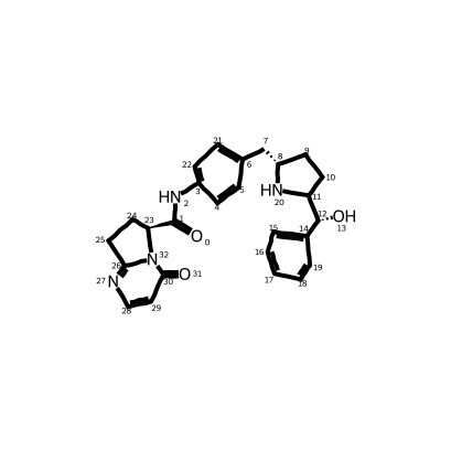 O=C(Nc1ccc(C[C@@H]2CCC([C@H](O)c3ccccc3)N2)cc1)[C@@H]1CCc2nccc(=O)n21